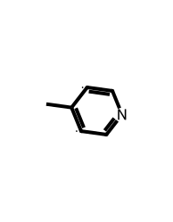 Cc1[c]cnc[c]1